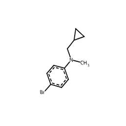 CN(CC1CC1)c1ccc(Br)cc1